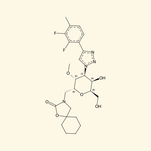 CO[C@@H]1[C@@H](n2cc(-c3ccc(C)c(F)c3F)nn2)[C@@H](O)[C@@H](CO)O[C@@H]1CN1CC2(CCCCC2)OC1=O